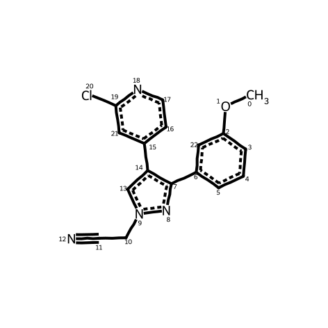 COc1cccc(-c2nn(CC#N)cc2-c2ccnc(Cl)c2)c1